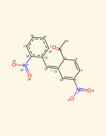 CC(=O)C1C=CC([N+](=O)[O-])=C/C1=C/c1ccccc1[N+](=O)[O-]